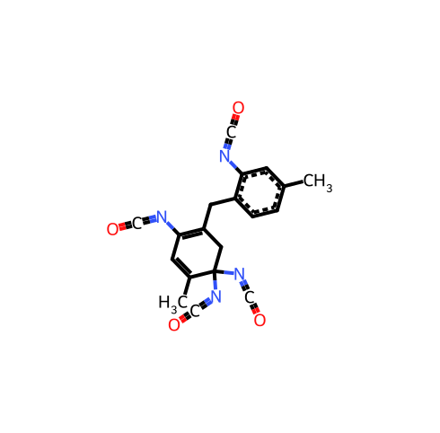 CC1=CC(N=C=O)=C(Cc2ccc(C)cc2N=C=O)CC1(N=C=O)N=C=O